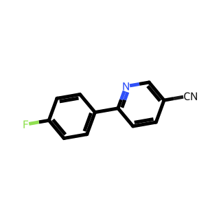 N#Cc1ccc(-c2ccc(F)cc2)nc1